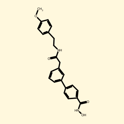 COc1ccc(CCNC(=O)Cc2cccc(-c3ccc(C(=O)NO)cc3)c2)cc1